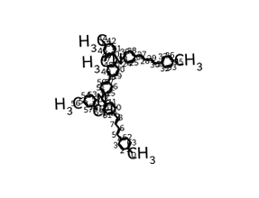 Cc1ccc(C=CC=Cc2ccc(N(c3ccc(-c4ccc(N(c5ccc(C=CC=Cc6ccc(C)cc6)cc5)c5ccc(C)cc5C)cc4)cc3)c3ccc(C)cc3C)cc2)cc1